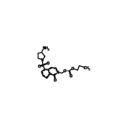 CCCOC(=O)OCn1ccc2c(S(=O)(=O)N3CCC(N)C3)cccc2c1=O